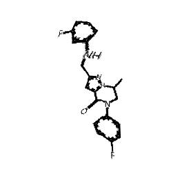 CC1CN(c2ccc(F)cc2)C(=O)c2cc(CNc3cccc(F)c3)nn21